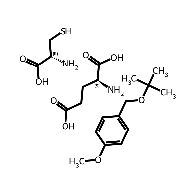 COc1ccc(COC(C)(C)C)cc1.N[C@@H](CCC(=O)O)C(=O)O.N[C@@H](CS)C(=O)O